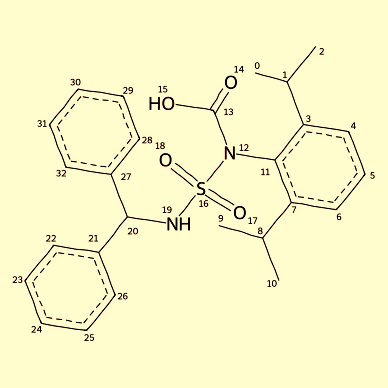 CC(C)c1cccc(C(C)C)c1N(C(=O)O)S(=O)(=O)NC(c1ccccc1)c1ccccc1